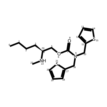 CCCC[C@@H](COC(=O)N(Cc1cccs1)Cc1cccs1)NC